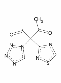 CC(=O)C([C]=O)(c1ncsn1)n1cnnn1